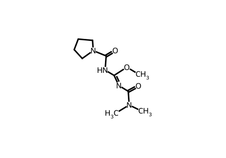 COC(=NC(=O)N(C)C)NC(=O)N1CCCC1